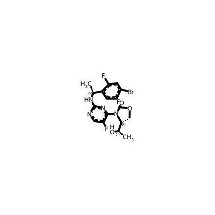 C[C@H](Nc1ncc(F)c(N2C(=O)OC[C@@H]2[C@@H](C)O)n1)c1cc(F)c(Br)cc1F